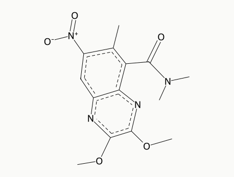 COc1nc2cc([N+](=O)[O-])c(C)c(C(=O)N(C)C)c2nc1OC